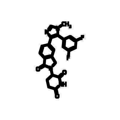 Cn1cnc(-c2ccc3c(c2)CN(C2CCC(=O)NC2=O)C3=O)c1-c1cc(F)cc(F)c1